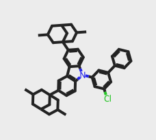 CC1CC2CC(C)CC(c3ccc4c(c3)c3cc(C56CC(C)CC(CC(C)C5)C6)ccc3n4-c3cc(Cl)cc(-c4ccccc4)c3)(C1)C2